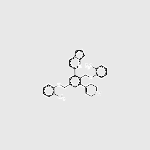 FC(F)(F)c1ccccc1OCc1cc(C2=CCNCC2)c(COc2ccccc2C(F)(F)F)c(-c2ccc3cccc-3o2)c1